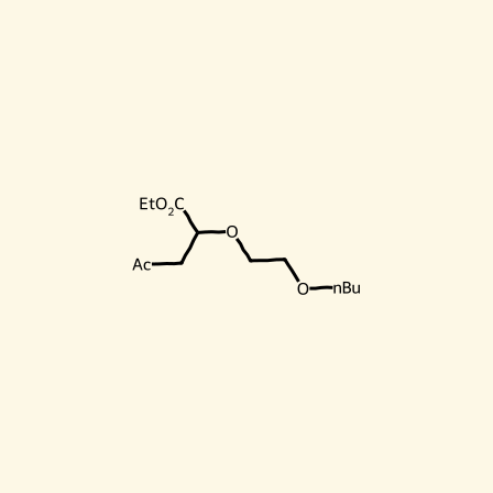 CCCCOCCOC(CC(C)=O)C(=O)OCC